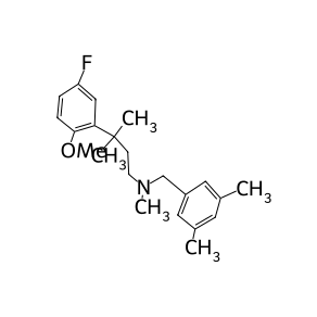 COc1ccc(F)cc1C(C)(C)CCN(C)Cc1cc(C)cc(C)c1